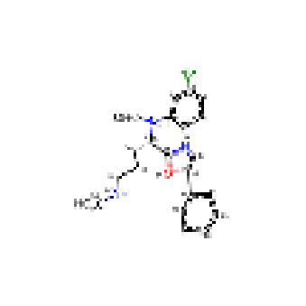 O=CN(c1cccc(Br)c1)[C@@H](CCCNC(=O)O)c1ncc(-c2ccccc2)o1